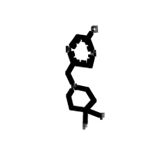 FC1(F)CCN(Cc2cnc(Cl)cn2)CC1